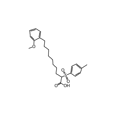 COc1ccccc1CCCCCCCCC(C(=O)O)S(=O)(=O)c1ccc(C)cc1